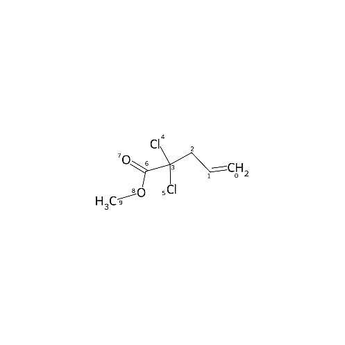 C=CCC(Cl)(Cl)C(=O)OC